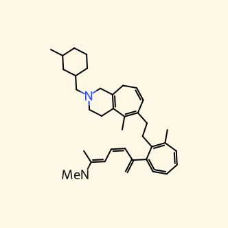 C=C(/C=C\C=C(/C)NC)C1=C=CC=CC(C)=C1CCC1=C(C)C2=C(CC=C1)CN(CC1CCCC(C)C1)CC2